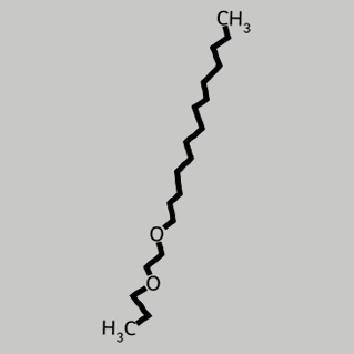 CCCCCCCCCCCCCCOCCOCCC